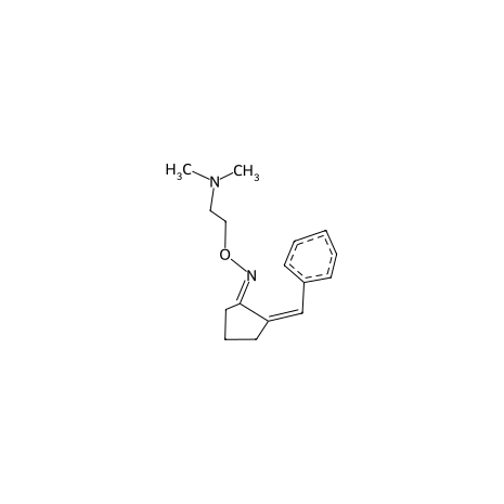 CN(C)CCON=C1CCCC1=Cc1ccccc1